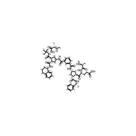 CN[C@@H](C)C(=O)N[C@@H](CCC(=O)O)C(=O)N1C[C@@H](NC(=O)c2cccc(C(=O)N[C@H]3C[C@@H](C(=O)N[C@@H]4CCCc5ccccc54)N(C(=O)[C@@H](NC(=O)[C@H](C)NC)C(C)(C)C)C3)c2)C[C@H]1C(=O)N[C@H](C)c1ccccc1